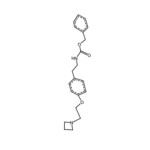 O=C(NCCc1ccc(OCCN2CCC2)cc1)OCc1ccccc1